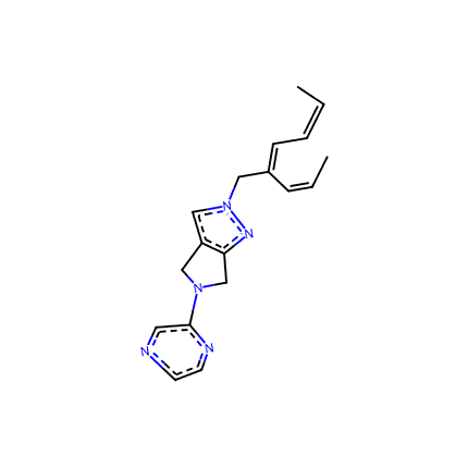 C\C=C/C=C(\C=C/C)Cn1cc2c(n1)CN(c1cnccn1)C2